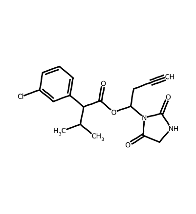 C#CCC(OC(=O)C(c1cccc(Cl)c1)C(C)C)N1C(=O)CNC1=O